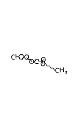 CCCCCCCOC(=O)c1ccc(OCCOc2ccc(Cl)cc2)cc1